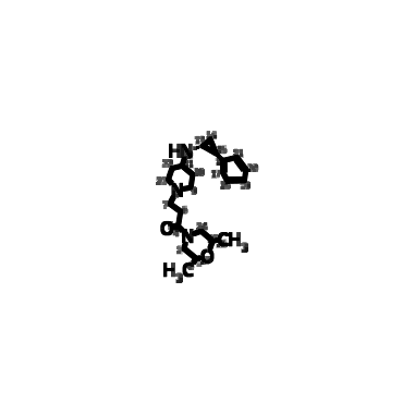 CC1CN(C(=O)CCN2CCC(N[C@@H]3C[C@H]3c3ccccc3)CC2)CC(C)O1